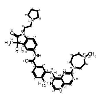 Cc1ccc(C(=O)Nc2ccc3c(c2)C(C)(C)C(=O)N3CCN2CCCC2)cc1Nc1ncnc2cnc(N3CCCN(C)CC3)nc12